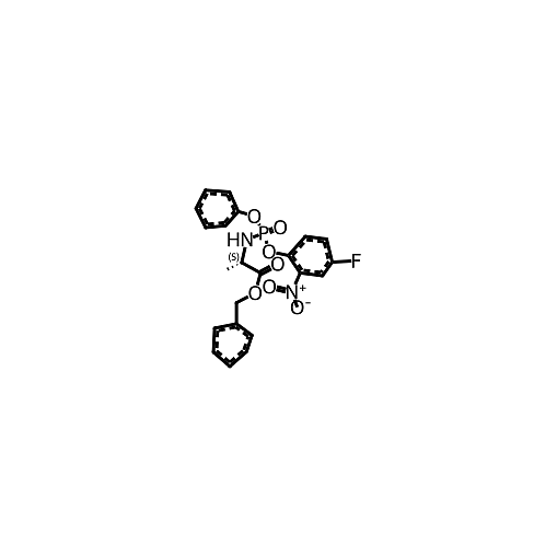 C[C@H](NP(=O)(Oc1ccccc1)Oc1ccc(F)cc1[N+](=O)[O-])C(=O)OCc1ccccc1